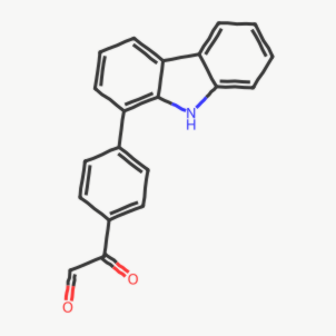 O=CC(=O)c1ccc(-c2cccc3c2[nH]c2ccccc23)cc1